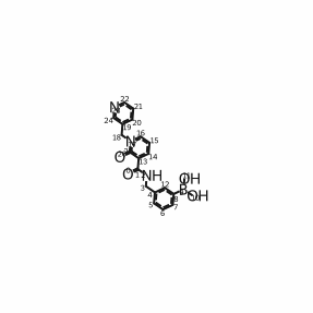 O=C(NCc1cccc(B(O)O)c1)c1cccn(Cc2cccnc2)c1=O